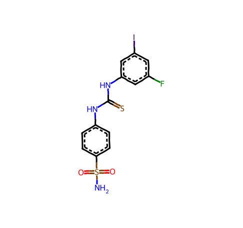 NS(=O)(=O)c1ccc(NC(=S)Nc2cc(F)cc(I)c2)cc1